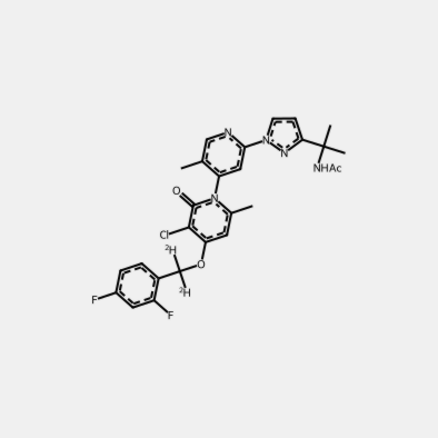 [2H]C([2H])(Oc1cc(C)n(-c2cc(-n3ccc(C(C)(C)NC(C)=O)n3)ncc2C)c(=O)c1Cl)c1ccc(F)cc1F